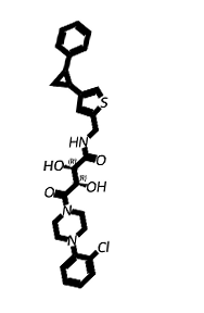 O=C(NCc1cc(C2CC2c2ccccc2)cs1)[C@H](O)[C@@H](O)C(=O)N1CCN(c2ccccc2Cl)CC1